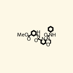 COC(=O)c1cccc(NC(=O)c2ccc3c(n2)N(C(=O)Nc2ccccc2)CCO3)c1